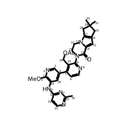 COc1ncc(-c2ccnc(N3CCn4c(cc5c4CC(C)(C)C5)C3=O)c2COC(C)=O)cc1Nc1ccnc(C)n1